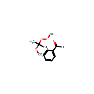 CCC(=O)c1ccccc1.CCCCOOC(C)(C)OC(=O)O